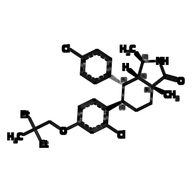 CCC(C)(CC)COc1ccc([C@@H]2CC[C@@]3(C)C(=O)N[C@H](C)[C@H]3[C@H]2c2ccc(Cl)cc2)c(Cl)c1